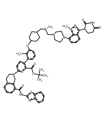 Cc1c(OC2CCC(C[C@H](C)CN3CCN(c4cccc5c(C6CCC(=O)NC6=O)nn(C)c45)CC3)CC2)cccc1-c1ccc(N2CCc3cccc(C(=O)Nc4nc5ccccc5s4)c3C2)nc1C(=O)OC(C)(C)C